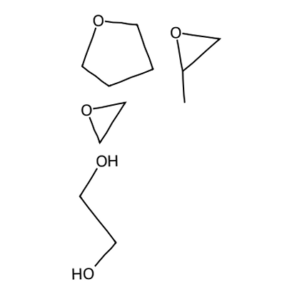 C1CCOC1.C1CO1.CC1CO1.OCCO